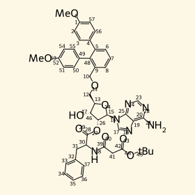 COc1ccc(-c2cccc(COC[C@H]3O[C@@H](n4cnc5c(N)ncnc54)[C@H](OC(=O)C(Cc4ccccc4)NC(=O)CC(=O)OC(C)(C)C)[C@@H]3O)c2-c2ccc(OC)cc2)cc1